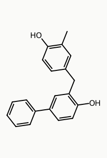 Cc1cc(Cc2cc(-c3ccccc3)ccc2O)ccc1O